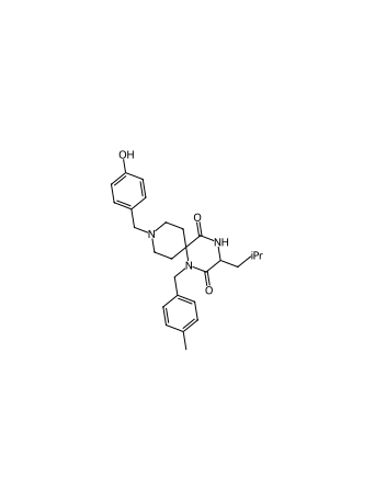 Cc1ccc(CN2C(=O)C(CC(C)C)NC(=O)C23CCN(Cc2ccc(O)cc2)CC3)cc1